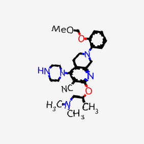 COCOc1ccccc1N1CCc2c(nc(OC(C)CN(C)C)c(C#N)c2N2CCNCC2)C1